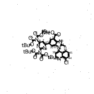 COC(=O)c1cc(-c2cc(N(C(=O)OC(C)(C)C)C(=O)OC(C)(C)C)nc(N(C(=O)OC(C)(C)C)C(=O)OC(C)(C)C)n2)cc2c1nc(C)n2-c1ccnc2c(Cl)cccc12